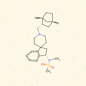 CN([C@H]1CC2(CCN(C[C@H]3C[C@H]4CC[C@@H]3C4)CC2)c2ccccc21)S(C)(=O)=O